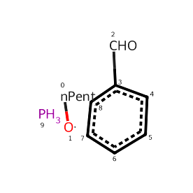 CCCCC[O].O=Cc1ccccc1.P